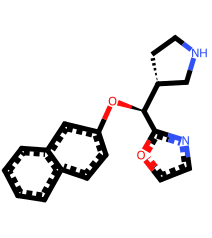 c1ccc2cc(O[C@H](c3ncco3)[C@@H]3CCNC3)ccc2c1